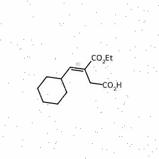 CCOC(=O)/C(=C/C1CCCCC1)CC(=O)O